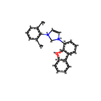 CC(C)c1cccc(C(C)C)c1N1C=CN(c2cccc3c2oc2ccccc23)C1